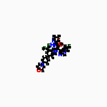 Cc1c(-c2ccc(N3CCOCC3)cc2)cc(C(F)F)c2cn(C(C(=O)Nc3nccs3)c3ncn4c3C[C@@H](F)C4)nc12